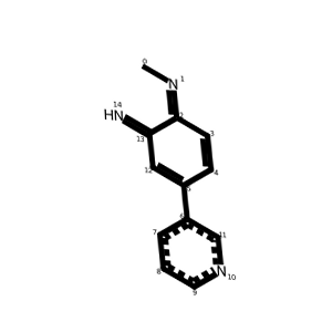 C/N=C1/C=CC(c2cccnc2)=CC1=N